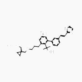 CC(C)(O)c1c(CCCSCC2(CC(=O)[O-])CC2)cccc1-c1cccc(C=Cc2nccs2)c1.[Na+]